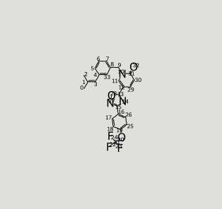 CC(C)=Cc1cccc(Cn2cc(-c3nc(-c4ccc(OC(F)(F)F)cc4)no3)ccc2=O)c1